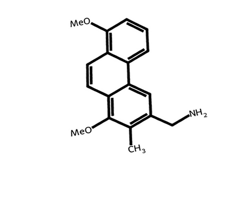 COc1cccc2c1ccc1c(OC)c(C)c(CN)cc12